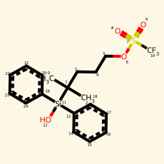 CC(C)(CCCOS(=O)(=O)C(F)(F)F)[Si](O)(c1ccccc1)c1ccccc1